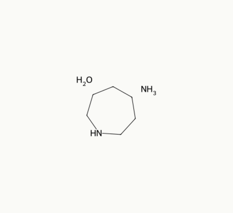 C1CCCNCC1.N.O